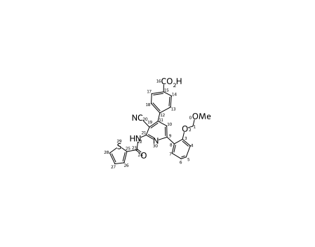 COCOc1ccccc1-c1cc(-c2ccc(C(=O)O)cc2)c(C#N)c(NC(=O)c2cccs2)n1